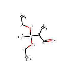 CCO[Si](C)(OCC)C(C)C=O